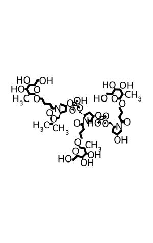 CC(C)OC[C@@H]1C[C@@H](OP(=O)(O)OC[C@@H]2C[C@@H](OP(=O)(O)OC[C@@H]3C[C@@H](O)CN3C(=O)CCCO[C@@H]3OC(CO)[C@H](O)C(O)[C@@H]3C)CN2C(=O)CCCO[C@@H]2OC(CO)[C@H](O)C(O)[C@@H]2C)CN1C(=O)CCCO[C@@H]1OC(CO)[C@H](O)C(O)[C@@H]1C